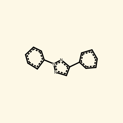 c1ccc(-c2cnn(-c3ccccc3)n2)cc1